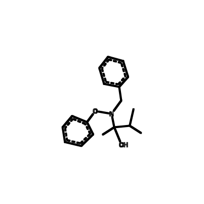 CC(C)C(C)(O)N(Cc1ccccc1)Oc1ccccc1